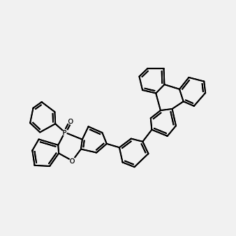 O=P1(c2ccccc2)c2ccccc2Oc2cc(-c3cccc(-c4ccc5c6ccccc6c6ccccc6c5c4)c3)ccc21